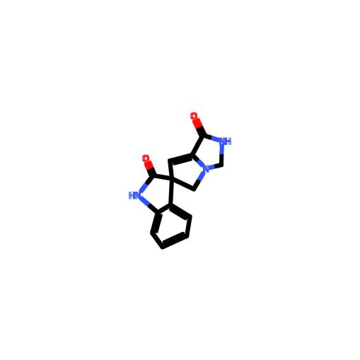 O=C1NCN2CC3(C=C12)C(=O)Nc1ccccc13